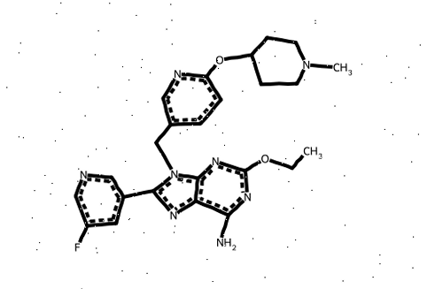 CCOc1nc(N)c2nc(-c3cncc(F)c3)n(Cc3ccc(OC4CCN(C)CC4)nc3)c2n1